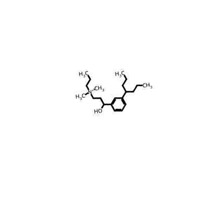 CCCC(CCC)c1cccc(C(O)CC[N+](C)(C)CCC)c1